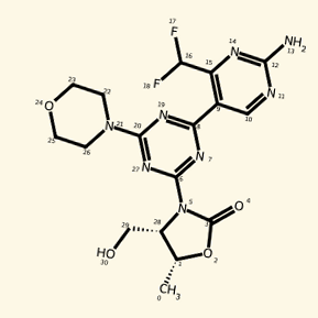 C[C@H]1OC(=O)N(c2nc(-c3cnc(N)nc3C(F)F)nc(N3CCOCC3)n2)[C@H]1CO